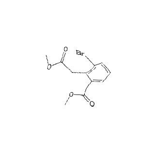 COC(=O)Cc1c(Br)cccc1C(=O)OC